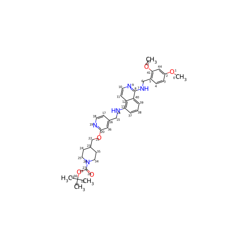 COc1ccc(CNc2nccc3c(NCc4ccnc(OCC5CCN(C(=O)OC(C)(C)C)CC5)c4)cccc23)c(OC)c1